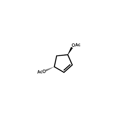 CC(=O)O[C@H]1C=C[C@H](OC(C)=O)C1